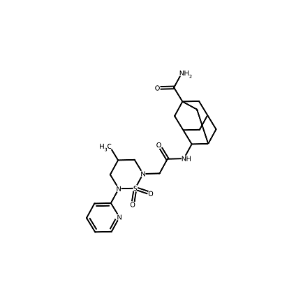 CC1CN(CC(=O)NC2C3CC4CC2CC(C(N)=O)(C4)C3)S(=O)(=O)N(c2ccccn2)C1